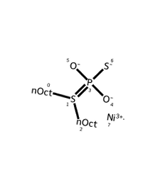 CCCCCCCCS(CCCCCCCC)=P([O-])([O-])[S-].[Ni+3]